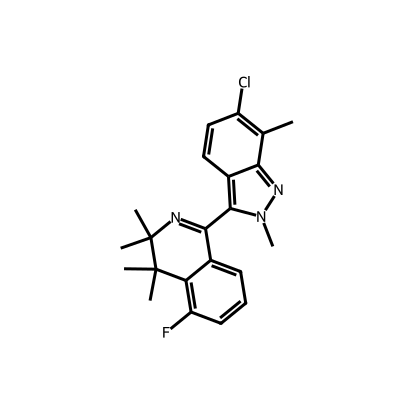 Cc1c(Cl)ccc2c(C3=NC(C)(C)C(C)(C)c4c(F)cccc43)n(C)nc12